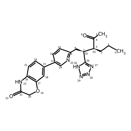 CCC[C@H](C(C)=O)[C@H](Cc1ccc(-c2ccc3c(c2)OCC(=O)N3)cn1)c1nnn[nH]1